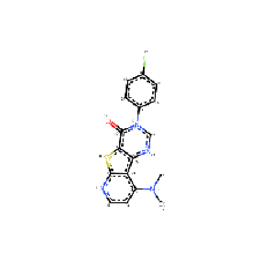 CCN(C)c1ccnc2sc3c(=O)n(-c4ccc(F)cc4)cnc3c12